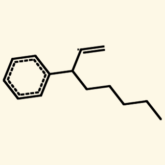 C=[C]C(CCCCC)c1ccccc1